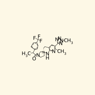 Cc1nc2c(cc1-c1nnn(C)n1)CC[C@@]1(CCN(C(=O)C(C)c3ccc(C(F)(F)F)cc3)C1)N2